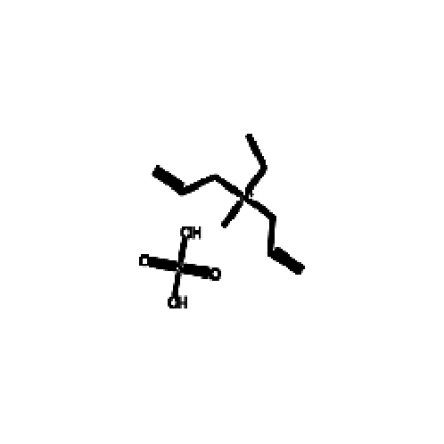 C=CC[N+](C)(CC)CC=C.O=S(=O)(O)O